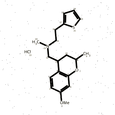 COc1ccc2c(c1)OC(C)CC2CN(C)CCc1cccs1.Cl